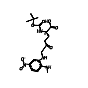 CNc1ccc([N+](=O)[O-])cc1NCC(=O)CC[C@@H](NC(=O)OC(C)(C)C)C(=O)O